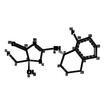 CC1(CF)SC(N[C@H]2CCCc3cccc(F)c32)=NC1=O